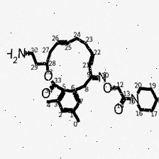 Cc1cc(C)c2c(c1)CC(=NOCC(=O)N1CCCCC1)/C=C/CC/C=C/CC(CCN)OC2=O